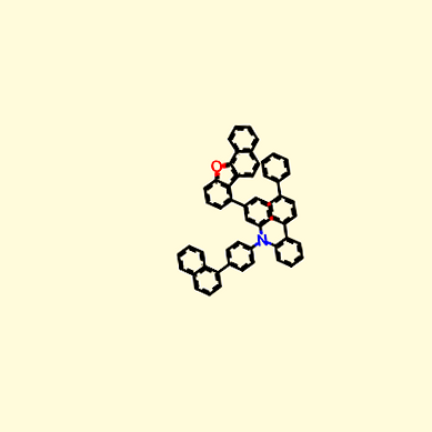 c1ccc(-c2ccc(-c3ccccc3N(c3ccc(-c4cccc5ccccc45)cc3)c3cccc(-c4cccc5oc6c7ccccc7ccc6c45)c3)cc2)cc1